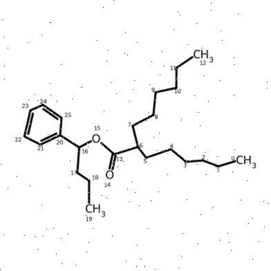 CCCCCCC(CCCCCC)C(=O)OC(CCC)c1ccccc1